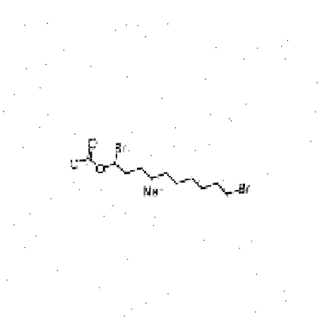 O=C([O-])OC(Br)CCCCCCCCCBr.[Na+]